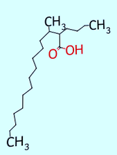 CCCCCCCCCCCCC(C)C(CCCC)C(=O)O